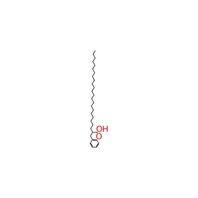 CCCCCCCCCCCCCCCCCCCCCCC(Cc1ccccc1)C(=O)O